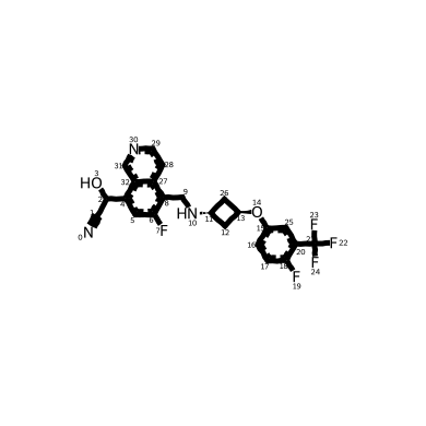 N#CC(O)c1cc(F)c(CN[C@H]2C[C@H](Oc3ccc(F)c(C(F)(F)F)c3)C2)c2ccncc12